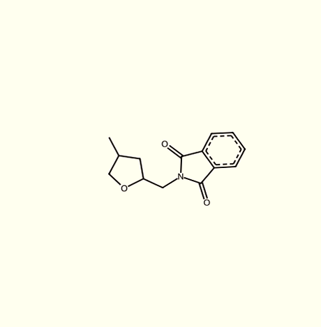 CC1COC(CN2C(=O)c3ccccc3C2=O)C1